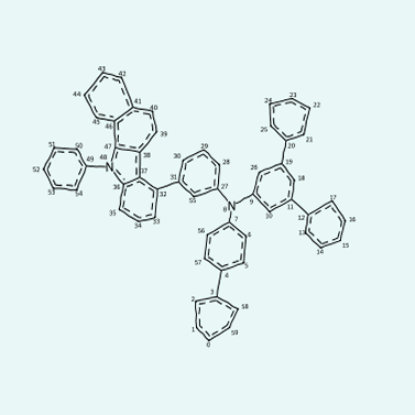 c1ccc(-c2ccc(N(c3cc(-c4ccccc4)cc(-c4ccccc4)c3)c3cccc(-c4cccc5c4c4ccc6ccccc6c4n5-c4ccccc4)c3)cc2)cc1